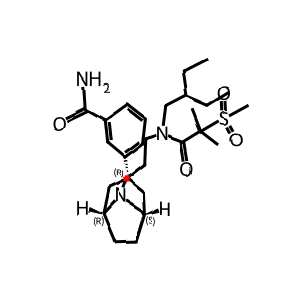 CCC(CC)CN(CCCN1[C@@H]2CC[C@H]1C[C@@H](c1cccc(C(N)=O)c1)C2)C(=O)C(C)(C)S(C)(=O)=O